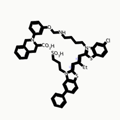 CCC(/C=C1\Sc2ccc(-c3ccccc3)cc2N1CCCS(=O)(=O)O)=C\c1sc2ccc(Cl)cc2[n+]1CCCCNCOc1cccc(N2Cc3ccccc3CC2C(=O)O)c1